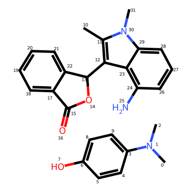 CN(C)c1ccc(O)cc1.Cc1c(C2OC(=O)c3ccccc32)c2c(N)cccc2n1C